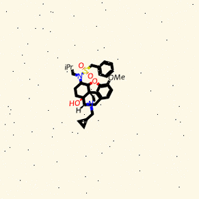 COc1ccc2c3c1OC1C(N(CC(C)C)S(=O)(=O)Cc4ccccc4)CC[C@@]4(O)[C@@H](C2)N(CC2CC2)CC[C@]314